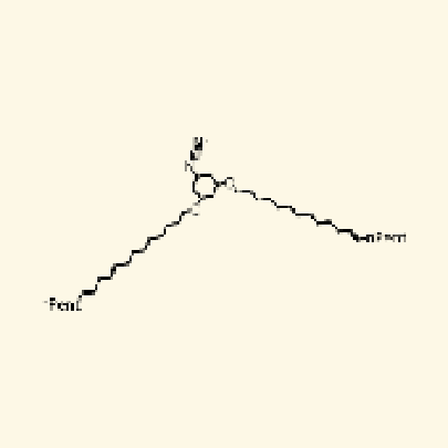 CCCCCC=CCC=CCCCCCCCCOC1CC(N=[N+]=[N-])CC(OCCCCCCCCC=CCC=CCCCCC)C1